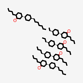 CCCCC1CCC([C@H]2CC[C@H](CC)CC2)CC1=O.CCCCC1CCC([C@H]2CC[C@H](CCC)CC2)CC1=O.CCCCC1CCC([C@H]2CC[C@H](CCCC)CC2)CC1=O.CCCCCCC[C@H]1CC[C@H](C2CCC(CCCC)C(=O)C2)CC1.CCCCC[C@H]1CC[C@H](C2CCC(CCCC)C(=O)C2)CC1